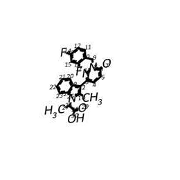 Cc1c(-c2ccc(=O)n(Cc3ccc(F)cc3F)n2)c2ccccc2n1C(C)C(=O)O